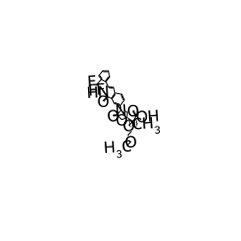 COCCO[C@](C)(C(=O)O)C1CN(c2ccc3cc(-c4ccccc4C(F)(F)F)[nH]c(=O)c3c2)C(=O)O1